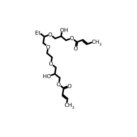 CC=CC(=O)OCC(O)COCCOCC(CC)OCC(O)COC(=O)C=CC